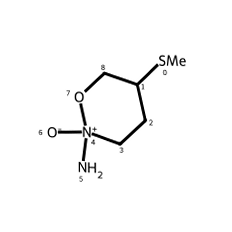 CSC1CC[N+](N)([O-])OC1